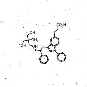 CCC(Cc1cn(-c2ccccc2)c2ccc(CCC(=O)O)cc12)c1ccccc1.NC(CO)(CO)CO